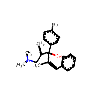 CC(=Cc1ccccc1)C(O)(c1ccc(C(C)(C)C)cc1)C(C)CN(C)C